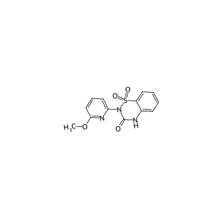 COc1cccc(N2C(=O)Nc3ccccc3S2(=O)=O)n1